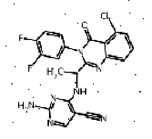 CC(Nc1nc(N)ncc1C#N)c1nc2cccc(Cl)c2c(=O)n1-c1ccc(F)c(F)c1